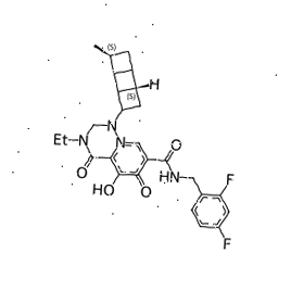 CCN1CN(C2C[C@H]3C4C[C@H](C)C4C23)n2cc(C(=O)NCc3ccc(F)cc3F)c(=O)c(O)c2C1=O